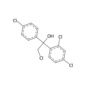 OC(CCl)(c1ccc(Cl)cc1)c1ccc(Cl)cc1Cl